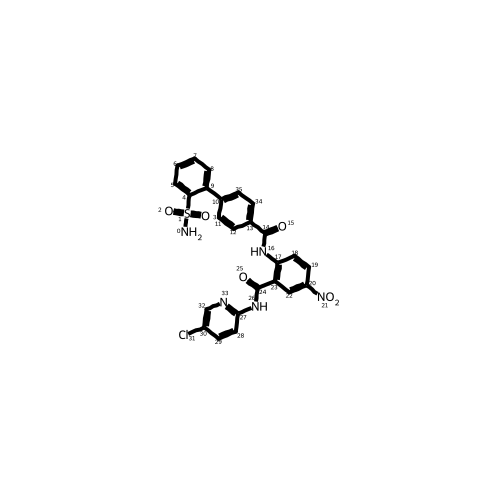 NS(=O)(=O)c1ccccc1-c1ccc(C(=O)Nc2ccc([N+](=O)[O-])cc2C(=O)Nc2ccc(Cl)cn2)cc1